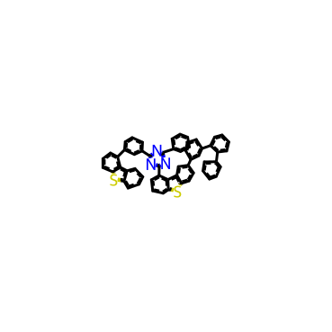 c1ccc(-c2nc(-c3cccc(-c4cccc5sc6ccccc6c45)c3)nc(-c3cccc4sc5ccc(-c6cccc(-c7ccccc7-c7ccccc7)c6)cc5c34)n2)cc1